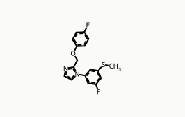 CSc1cc(F)cc(-n2ccnc2COc2ccc(F)cc2)c1